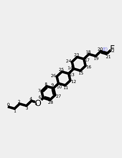 CCCCCOc1ccc(C2CCC(C3CCC(CC/C=C/F)CC3)CC2)cc1